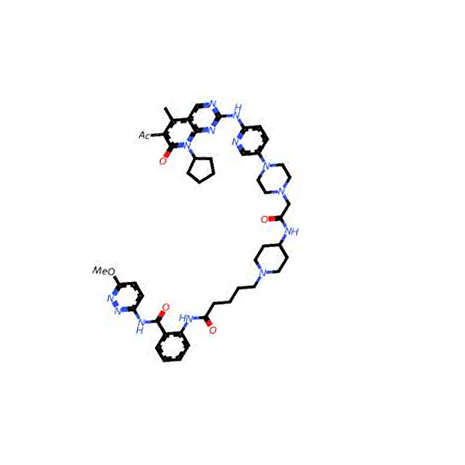 COc1ccc(NC(=O)c2ccccc2NC(=O)CCCCN2CCC(NC(=O)CN3CCN(c4ccc(Nc5ncc6c(C)c(C(C)=O)c(=O)n(C7CCCC7)c6n5)nc4)CC3)CC2)nn1